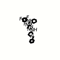 Fc1cc(F)c(Nc2nc3cnc(N[C@@H]4CCCN(Cc5ccccc5)C4)nc3n2C2CCCCC2)c(F)c1